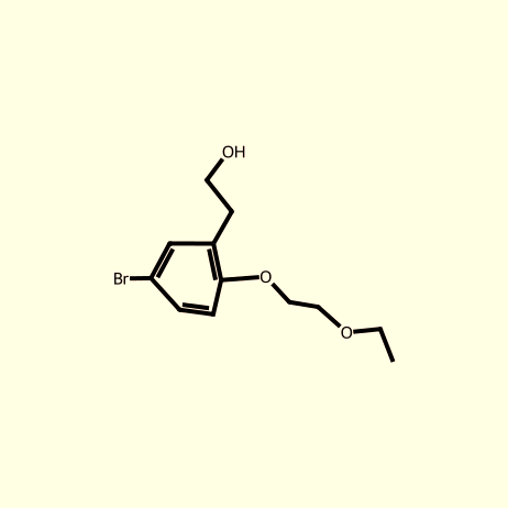 CCOCCOc1ccc(Br)cc1CCO